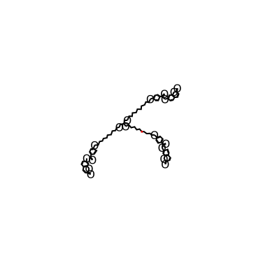 O=C(Oc1ccc2ccc(=O)oc2c1)c1ccc(OCCCCCCCCCCOCC(COCCCCCCCCCCOc2ccc(C(=O)Oc3ccc4ccc(=O)oc4c3)cc2)OCCCCCCCCCCOc2ccc(C(=O)Oc3ccc4ccc(=O)oc4c3)cc2)cc1